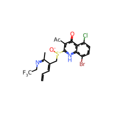 C=C/C=C(C[S+]([O-])c1[nH]c2c(Br)ccc(Cl)c2c(=O)c1C(C)=O)\C(C)=N/CC(F)(F)F